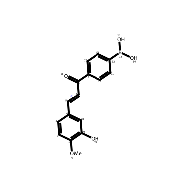 COc1ccc(/C=C/C(=O)c2ccc(B(O)O)cc2)cc1O